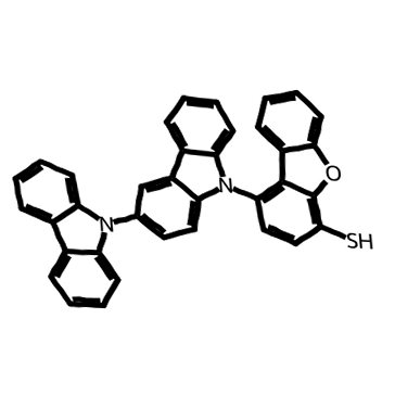 Sc1ccc(-n2c3ccccc3c3cc(-n4c5ccccc5c5ccccc54)ccc32)c2c1oc1ccccc12